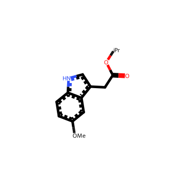 COc1ccc2[nH]cc(CC(=O)OC(C)C)c2c1